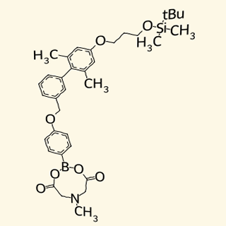 Cc1cc(OCCCO[Si](C)(C)C(C)(C)C)cc(C)c1-c1cccc(COc2ccc(B3OC(=O)CN(C)CC(=O)O3)cc2)c1